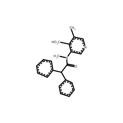 Cc1cncc(N(C)C(=O)C(c2ccccc2)c2ccccc2)c1C(=O)O